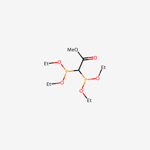 CCOP(OCC)C(C(=O)OC)P(OCC)OCC